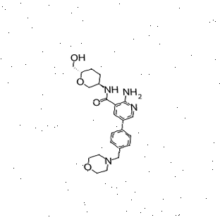 Nc1ncc(-c2ccc(CN3CCOCC3)cc2)cc1C(=O)N[C@@H]1CC[C@@H](CO)OC1